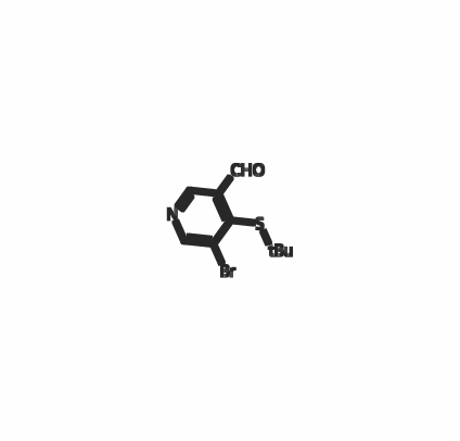 CC(C)(C)Sc1c(Br)cncc1C=O